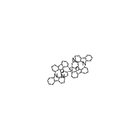 c1ccc([Si](c2ccccc2)(c2cccc3c2oc2c(-n4c5ccccc5c5ccncc54)cccc23)c2cccc3c2oc2c(-n4c5ccccc5c5cccnc54)cccc23)cc1